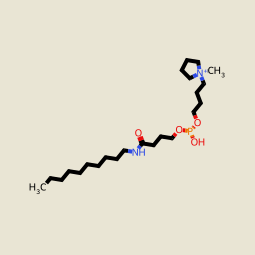 CCCCCCCCCCNC(=O)CCCOP(O)OCCCC[N+]1(C)CCCC1